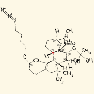 C=C1C(=O)[C@]23[C@H](C)[C@H]1CC[C@H]2[C@@]12CO[C@]3(OC(C)(C)O)[C@@H](O)[C@@H]1C(C)(C)CC1=C2O[C@@H](OCCCCN=[N+]=[N-])CC1